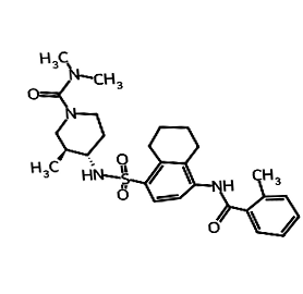 Cc1ccccc1C(=O)Nc1ccc(S(=O)(=O)N[C@H]2CCN(C(=O)N(C)C)C[C@@H]2C)c2c1CCCC2